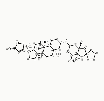 C[C@H]1O[C@@H](O[C@H]2CC[C@]3(C=O)[C@H]4CC[C@]5(C)[C@@H](C6=CC(=O)OC6)CC[C@]5(O)[C@@H]4CC[C@]3(O)C2)C[C@@H]2OC3(CCCC3)O[C@@H]21